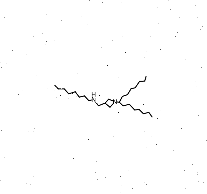 CCCCCCCCNCC1CN(C(CCCCCCC)CCCCCCC)C1